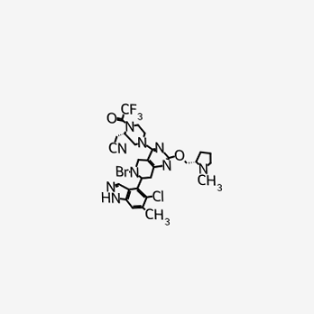 Cc1cc2[nH]ncc2c(C2Cc3nc(OC[C@@H]4CCCN4C)nc(N4CCN(C(=O)C(F)(F)F)[C@@H](CC#N)C4)c3CN2Br)c1Cl